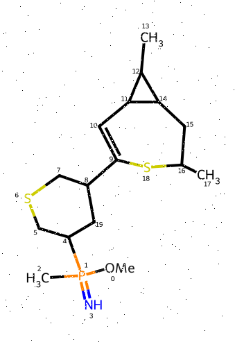 COP(C)(=N)C1CSCC(C2=CC3C(C)C3CC(C)S2)C1